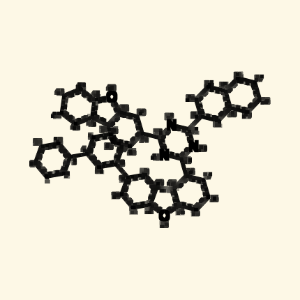 c1ccc(-c2cccc(-c3ccc4oc5cccc(-c6nc(-c7ccc8ccccc8c7)nc(-c7ccc8c(c7)oc7ccccc78)n6)c5c4c3)c2)cc1